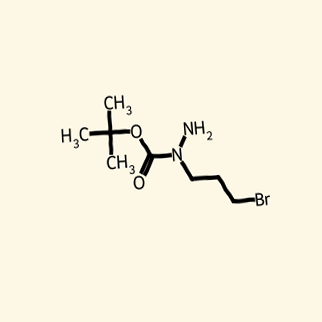 CC(C)(C)OC(=O)N(N)CCCBr